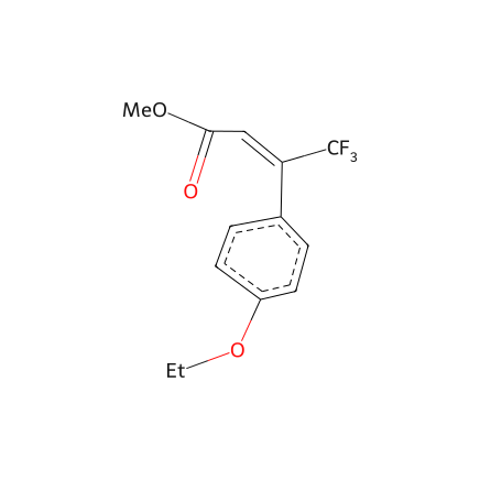 CCOc1ccc(/C(=C\C(=O)OC)C(F)(F)F)cc1